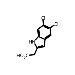 O=C(O)Cc1cc2cc(Cl)c(Cl)cc2[nH]1